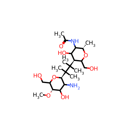 CO[C@@H]1C(CO)O[C@@H](C(C)(C)C(C)(C)[C@@H]2C(CO)O[C@@H](C)C(NC(C)=O)C2O)C(N)C1O